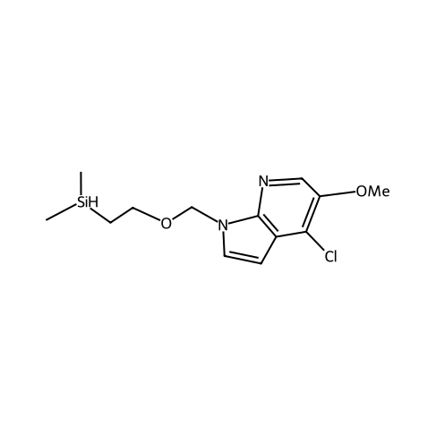 COc1cnc2c(ccn2COCC[SiH](C)C)c1Cl